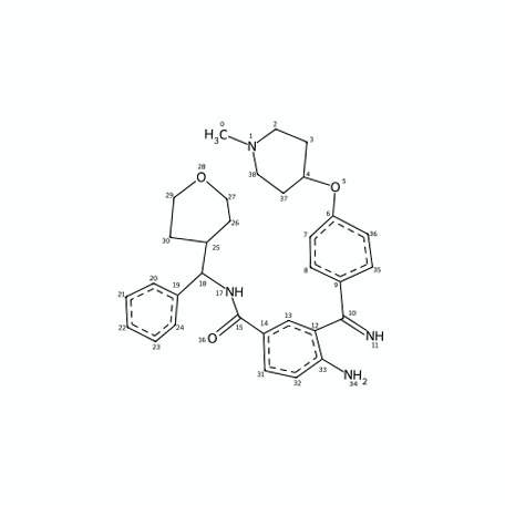 CN1CCC(Oc2ccc(C(=N)c3cc(C(=O)NC(c4ccccc4)C4CCOCC4)ccc3N)cc2)CC1